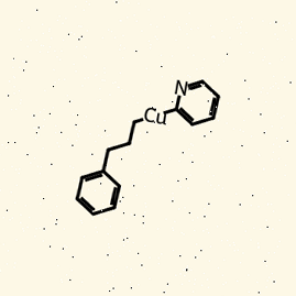 c1ccc(CC[CH2][Cu][c]2ccccn2)cc1